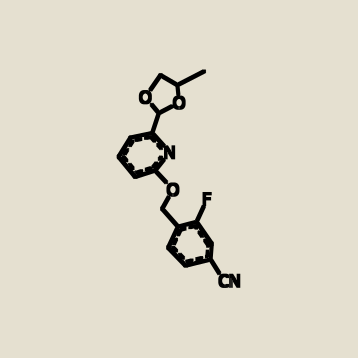 CC1COC(c2cccc(OCc3ccc(C#N)cc3F)n2)O1